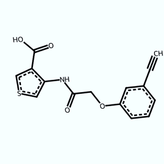 C#Cc1cccc(OCC(=O)Nc2cscc2C(=O)O)c1